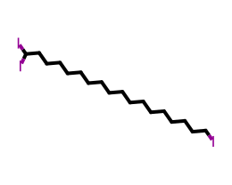 ICCCCCCCCCCCCCCCCCC(I)I